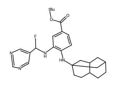 CC(C)(C)OC(=O)c1ccc(NC23CCC4CCC(CC4C2)C3)c(NC(F)c2cncnc2)c1